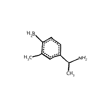 Bc1ccc(C(C)N)cc1C